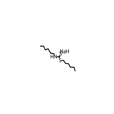 CCCCCCNC(=S)SCCCCCC.[NaH]